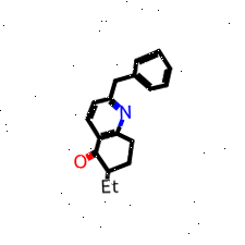 CCC1CCc2nc(Cc3ccccc3)ccc2C1=O